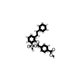 COC(=O)c1ccc(COc2c(CCc3ccccc3)cccc2S(C)(=O)=O)cc1